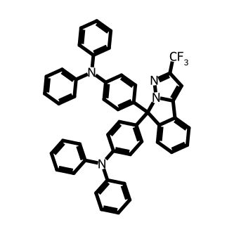 FC(F)(F)c1cc2n(n1)C(c1ccc(N(c3ccccc3)c3ccccc3)cc1)(c1ccc(N(c3ccccc3)c3ccccc3)cc1)c1ccccc1-2